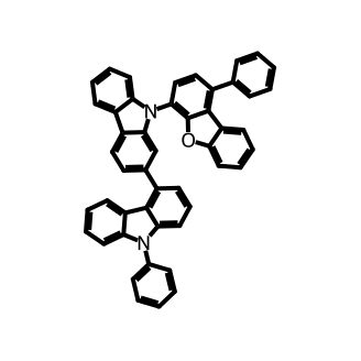 c1ccc(-c2ccc(-n3c4ccccc4c4ccc(-c5cccc6c5c5ccccc5n6-c5ccccc5)cc43)c3oc4ccccc4c23)cc1